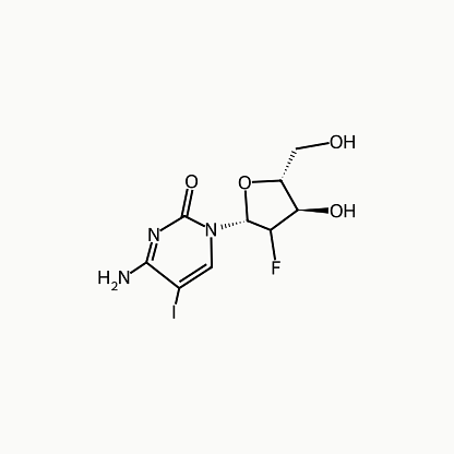 Nc1nc(=O)n([C@@H]2O[C@H](CO)[C@@H](O)C2F)cc1I